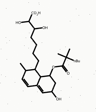 CCCCC(C)(C)C(=O)OC1CC(O)C=C2C=CC(C)C(CCCCC(O)C(O)C(=O)O)C21